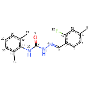 Cc1ccc(/C=N/NC(=O)Nc2c(C)cccc2C)c(F)c1